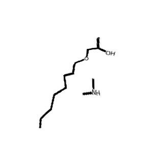 CCCCCCCCOCC(C)O.CNC